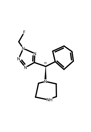 FCn1nnc([C@@H](c2ccccc2)N2CCNCC2)n1